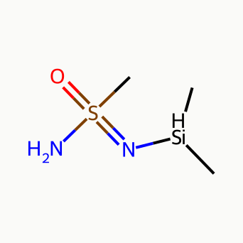 C[SiH](C)N=S(C)(N)=O